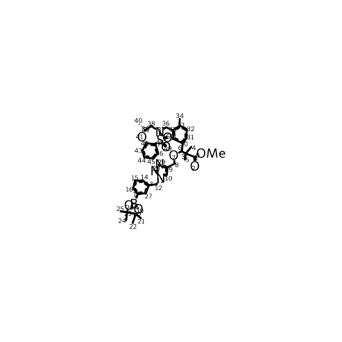 COC(=O)C(C)(C)C(OCc1cn(Cc2cccc(B3OC(C)(C)C(C)(C)O3)c2)nn1)c1ccc(C)c(CN2C[C@@H](C)Oc3ccccc3S2(=O)=O)c1